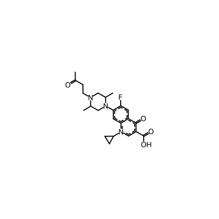 CC(=O)CCN1CC(C)N(c2cc3c(cc2F)c(=O)c(C(=O)O)cn3C2CC2)CC1C